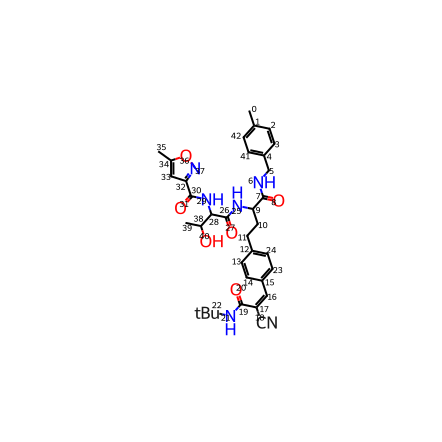 Cc1ccc(CNC(=O)C(CCc2ccc(C=C(C#N)C(=O)NC(C)(C)C)cc2)NC(=O)C(NC(=O)c2cc(C)on2)C(C)O)cc1